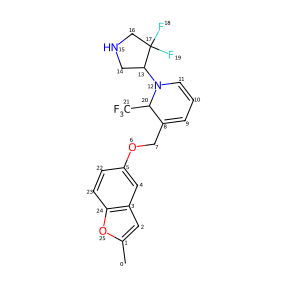 Cc1cc2cc(OCC3=CC=CN(C4CNCC4(F)F)C3C(F)(F)F)ccc2o1